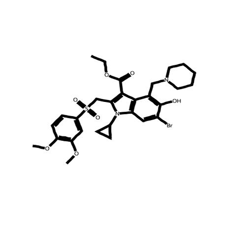 CCOC(=O)c1c(CS(=O)(=O)c2ccc(OC)c(OC)c2)n(C2CC2)c2cc(Br)c(O)c(CN3CCCCC3)c12